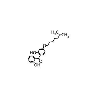 CC(C)CCCCCOc1ccc(C(=O)c2ccccc2O)c(O)c1